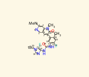 CNc1cc2c(cn1)cc(-c1cc(NC(=O)Nc3ncn(C(C)(C)C)c3F)c(F)cc1C)c(=O)n2C